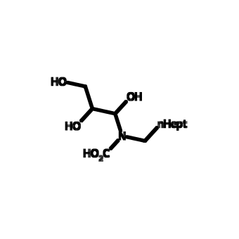 CCCCCCCCN(C(=O)O)C(O)C(O)CO